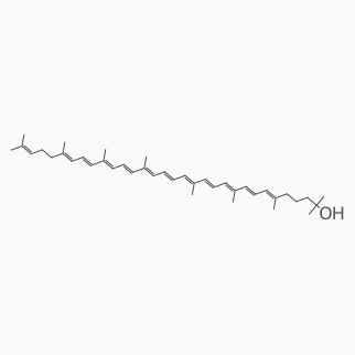 CC(C)=CCC/C(C)=C/C=C/C(C)=C/C=C/C(C)=C/C=C/C=C(C)/C=C/C=C(C)/C=C/C=C(\C)CCCC(C)(C)O